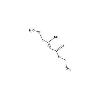 CCOC(=O)/C=C(\N)COC